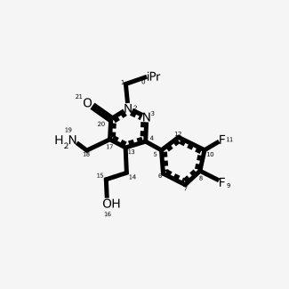 CC(C)Cn1nc(-c2ccc(F)c(F)c2)c(CCO)c(CN)c1=O